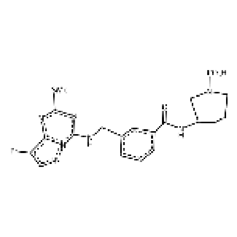 CSc1nc(NCc2cccc(C(=O)NC3CCCN(C(=O)O)C3)c2)n2ncc(C(C)C)c2n1